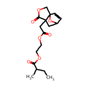 CCC(C)C(=O)OCCOC(=O)CC12CC3C=CC1(COC2=O)O3